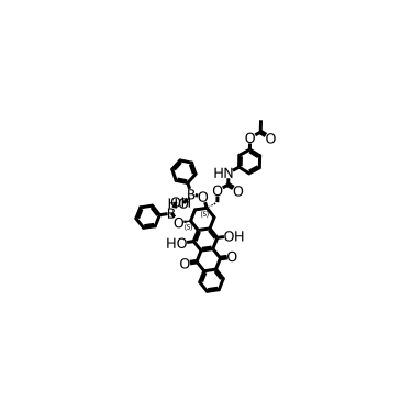 CC(=O)Oc1cccc(NC(=O)OC[C@]2(OB(O)c3ccccc3)Cc3c(O)c4c(c(O)c3[C@@H](OB(O)c3ccccc3)C2)C(=O)c2ccccc2C4=O)c1